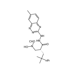 CCCC(C)(C)C[C@H](CN(O)C=O)C(=O)NNc1nnc2cc(C)ccc2n1